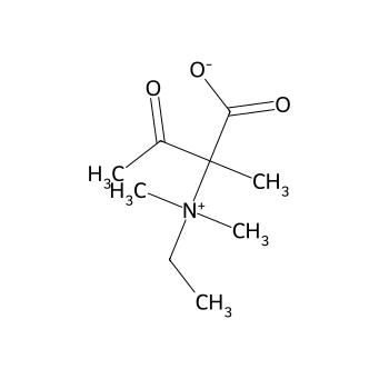 CC[N+](C)(C)C(C)(C(C)=O)C(=O)[O-]